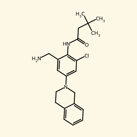 CC(C)(C)CC(=O)Nc1c(Cl)cc(N2CCc3ccccc3C2)cc1CN